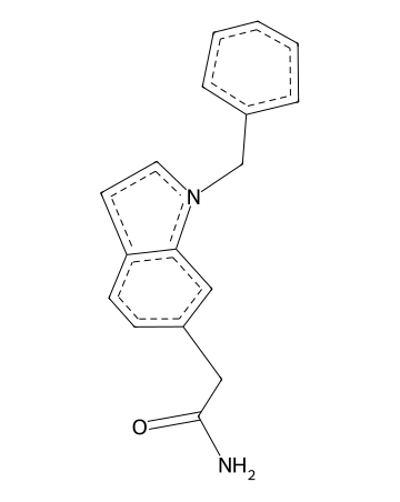 NC(=O)Cc1ccc2ccn(Cc3ccccc3)c2c1